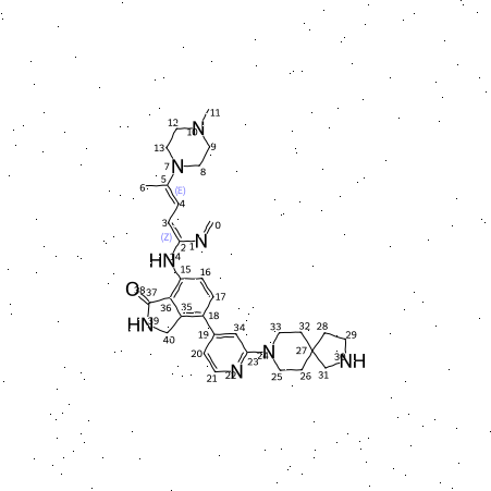 C=N/C(=C\C=C(/C)N1CCN(C)CC1)Nc1ccc(-c2ccnc(N3CCC4(CCNC4)CC3)c2)c2c1C(=O)NC2